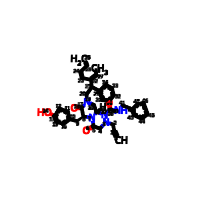 C#CCN1CC(=O)N2[C@@H](Cc3ccc(O)cc3)C(=O)N(CC(C(/C=C\C=C)=C/C)c3ccccc3)C[C@@H]2N1C(=O)NCc1ccccc1